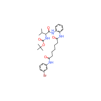 CC(C)[C@H](NC(=O)OC(C)(C)C)C(=O)Nc1ccccc1NC(=O)CCCCCC(=O)Nc1cccc(Br)c1